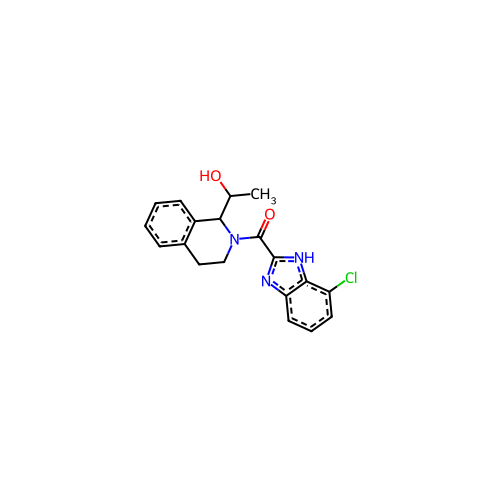 CC(O)C1c2ccccc2CCN1C(=O)c1nc2cccc(Cl)c2[nH]1